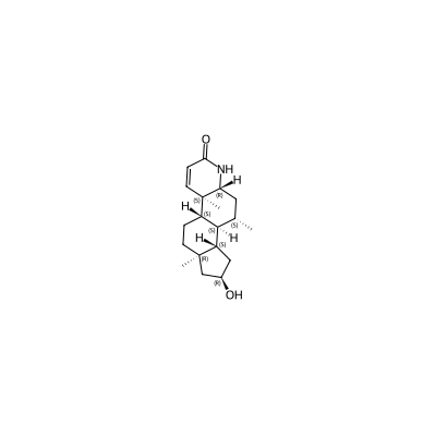 C[C@H]1C[C@H]2NC(=O)C=C[C@]2(C)[C@H]2CC[C@]3(C)C[C@H](O)C[C@H]3[C@H]12